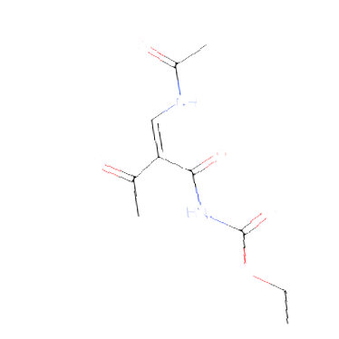 CCOC(=O)NC(=O)/C(=C\NC(C)=O)C(C)=O